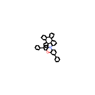 c1ccc(-c2ccc3c(c2)Oc2cc(-c4ccccc4)ccc2N3c2cccc3c2-c2ccccc2-c2ccccc2-c2ccccc2-3)cc1